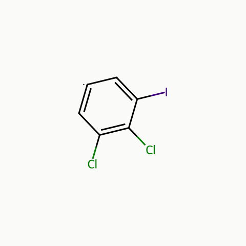 Clc1c[c]cc(I)c1Cl